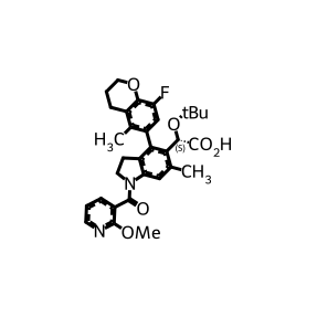 COc1ncccc1C(=O)N1CCc2c1cc(C)c([C@H](OC(C)(C)C)C(=O)O)c2-c1cc(F)c2c(c1C)CCCO2